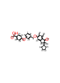 Cc1c(OCc2cccc(Oc3ccc(C(=O)O)cc3)c2)cc2c(c1C)C(=O)C(C)(C1CCCC1)C2